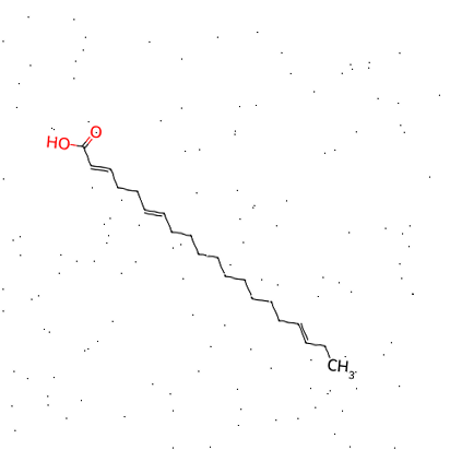 CC/C=C/CCCCCCCCC/C=C/CC/C=C/C(=O)O